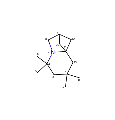 CC1(C)CC(C)(C)N2CC3CC2(C3)C1